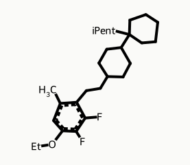 CCCC(C)C1(C2CCC(CCc3c(C)cc(OCC)c(F)c3F)CC2)CCCCC1